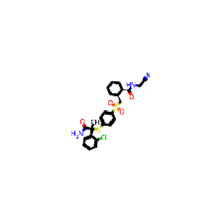 CC(Sc1ccc(S(=O)(=O)C[C@H]2CCCC[C@@H]2C(=O)NCC#N)cc1)(C(N)=O)c1ccccc1Cl